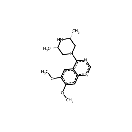 COc1cc2ncnc(N3C[C@@H](C)N[C@@H](C)C3)c2cc1OC